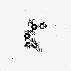 CNc1cc(-n2nc(C)cc2Nc2cc(NC(=O)c3cc(N4CCN(C)C(C)C4)cc(C(F)(F)F)c3)ccc2C)ncn1